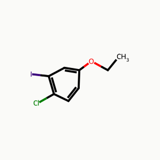 CCOc1ccc(Cl)c(I)c1